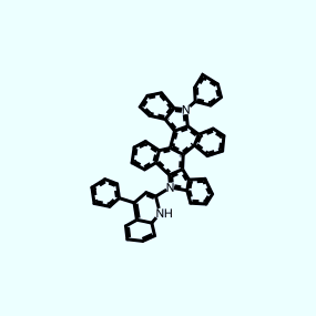 C1=CC2=C(c3ccccc3)C=C(n3c4ccccc4c4c5c6ccccc6c6c(c7ccccc7n6-c6ccccc6)c5c5ccccc5c43)NC2C=C1